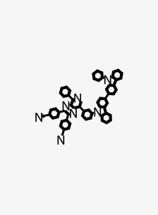 N#Cc1ccc(-c2nc3c(-c4cccc(-n5c6ccccc6c6cc(-c7ccc8c9ccccc9n(-c9ccccc9)c8c7)ccc65)c4)cnc(-c4ccccc4)c3nc2-c2ccc(C#N)cc2)cc1